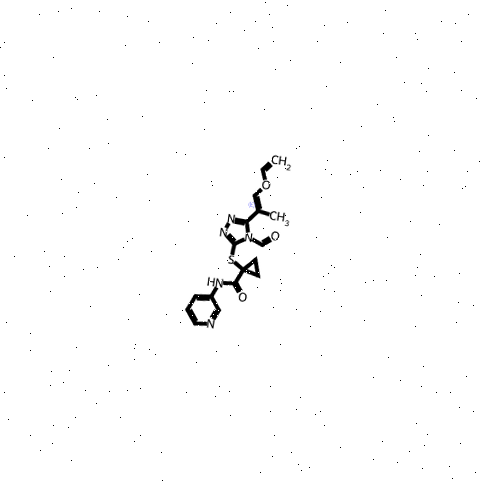 C=CO/C=C(\C)c1nnc(SC2(C(=O)Nc3cccnc3)CC2)n1C=O